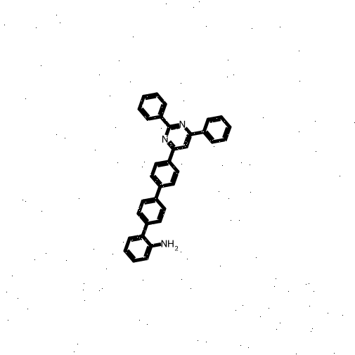 Nc1ccccc1-c1ccc(-c2ccc(-c3cc(-c4ccccc4)nc(-c4ccccc4)n3)cc2)cc1